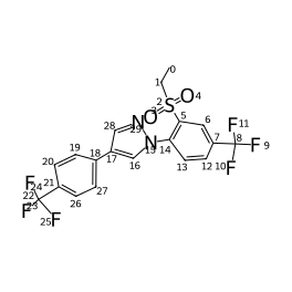 CCS(=O)(=O)c1cc(C(F)(F)F)ccc1-n1cc(-c2ccc(C(F)(F)F)cc2)cn1